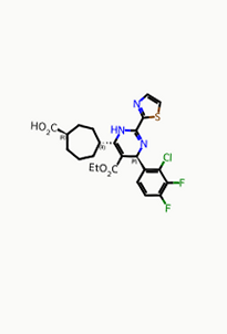 CCOC(=O)C1=C([C@@H]2CCC[C@@H](C(=O)O)CC2)NC(c2nccs2)=N[C@H]1c1ccc(F)c(F)c1Cl